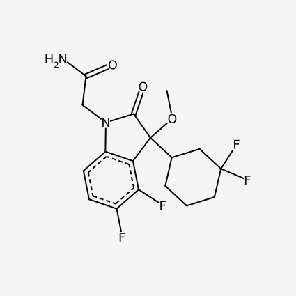 COC1(C2CCCC(F)(F)C2)C(=O)N(CC(N)=O)c2ccc(F)c(F)c21